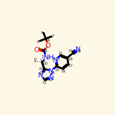 C[C@H](NC(=O)OC(C)(C)C)c1ncnn1-c1ccc(C#N)cn1